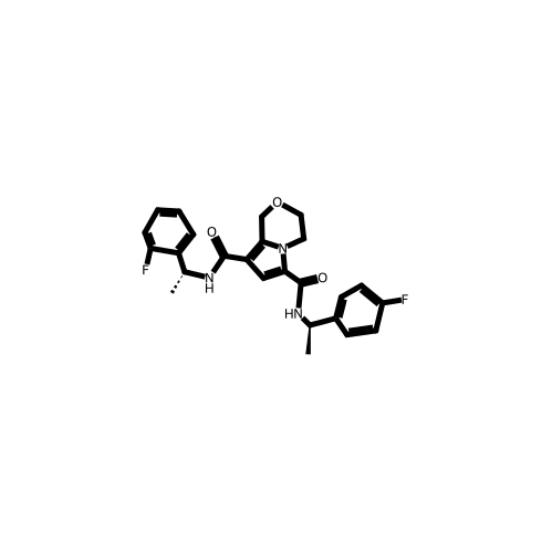 C[C@@H](NC(=O)c1cc(C(=O)N[C@H](C)c2ccccc2F)c2n1CCOC2)c1ccc(F)cc1